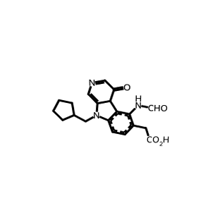 O=CNc1c(CC(=O)O)ccc2c1C1C(=O)C=NC=C1N2CC1CCCC1